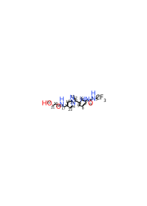 O=C(NCC(F)(F)F)Nc1cccc(-c2cnc3cc(CNOCCO)ccn23)c1